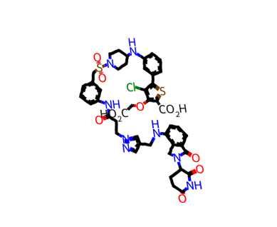 O=C(O)COc1c(C(=O)O)sc(-c2cccc(NC3CCN(S(=O)(=O)Cc4cccc(NC(=O)CCn5cc(CNc6cccc7c6CN(C6CCC(=O)NC6=O)C7=O)cn5)c4)CC3)c2)c1Cl